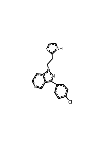 Clc1ccc(-c2nn(CCc3ncc[nH]3)c3ccncc23)cc1